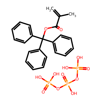 C=C(C)C(=O)OC(c1ccccc1)(c1ccccc1)c1ccccc1.O=P(O)(O)OP(=O)(O)OP(=O)(O)O